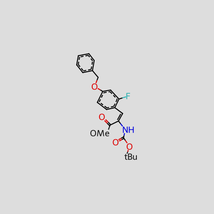 COC(=O)/C(=C\c1ccc(OCc2ccccc2)cc1F)NC(=O)OC(C)(C)C